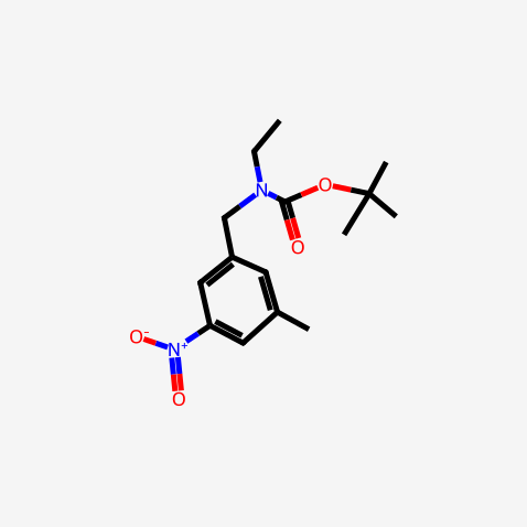 CCN(Cc1cc(C)cc([N+](=O)[O-])c1)C(=O)OC(C)(C)C